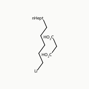 O=C(O)CC(=O)O.[Li][CH2]CCCCCCCCCCC